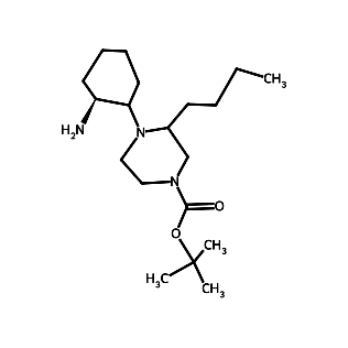 CCCCC1CN(C(=O)OC(C)(C)C)CCN1C1CCCC[C@@H]1N